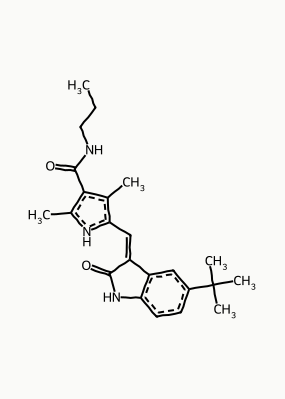 CCCNC(=O)c1c(C)[nH]c(/C=C2\C(=O)Nc3ccc(C(C)(C)C)cc32)c1C